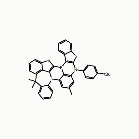 Cc1cc2c3c(c1)N1c4ccccc4C(C)(C)c4cccc5sc(c1c45)B3c1c(sc3ccccc13)N2c1ccc(C(C)(C)C)cc1